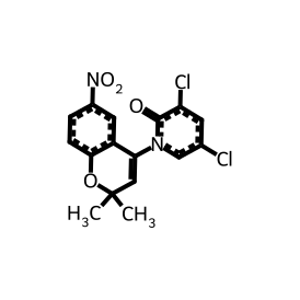 CC1(C)C=C(n2cc(Cl)cc(Cl)c2=O)c2cc([N+](=O)[O-])ccc2O1